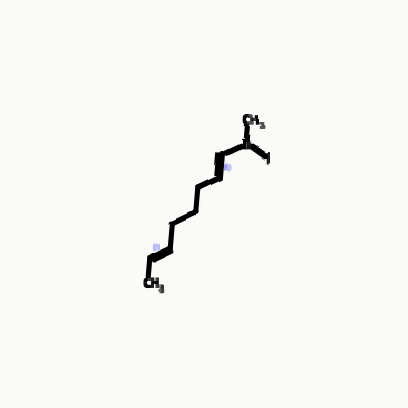 C/C=C/CCC/C=C/B(C)I